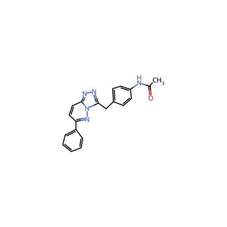 CC(=O)Nc1ccc(Cc2nnc3ccc(-c4ccccc4)nn23)cc1